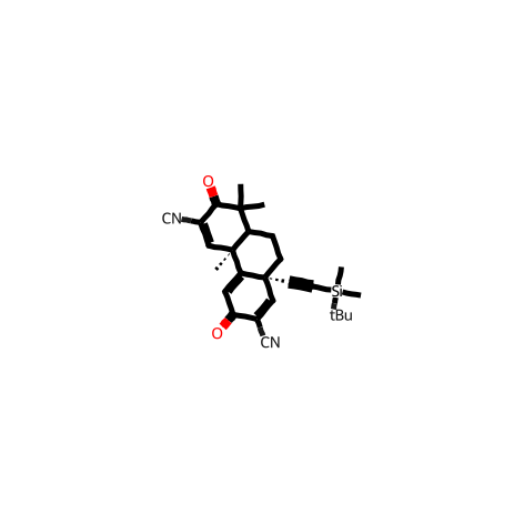 [C-]#[N+]C1=C[C@]2(C)C3=CC(=O)C(C#N)=C[C@]3(C#C[Si](C)(C)C(C)(C)C)CCC2C(C)(C)C1=O